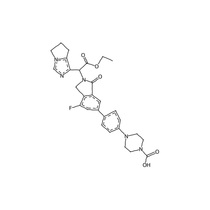 CCOC(=O)C(c1ncn2c1CCC2)N1Cc2c(F)cc(-c3ccc(N4CCN(C(=O)O)CC4)cc3)cc2C1=O